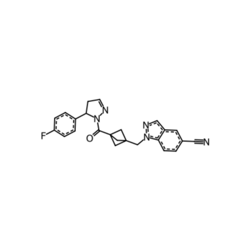 N#Cc1ccc2c(cnn2CC23CC(C(=O)N4N=CCC4c4ccc(F)cc4)(C2)C3)c1